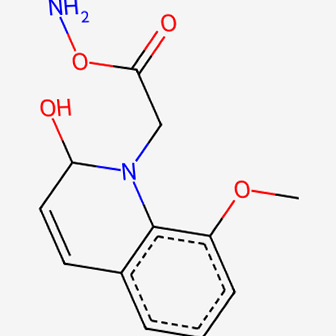 COc1cccc2c1N(CC(=O)ON)C(O)C=C2